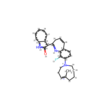 C/C1=C\CCN(c2ccc3c(c2F)N=C(c2c4cccccc-4[nH]c2=O)CC=C3)CCCC1